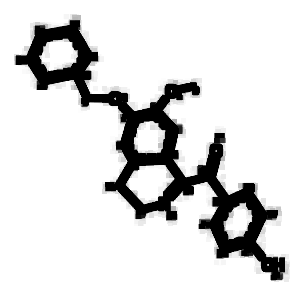 COc1cc2c(cc1OCc1ccccc1)CCN=C2C(=O)c1ccc(O)cc1